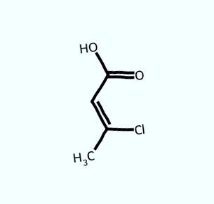 C/C(Cl)=C/C(=O)O